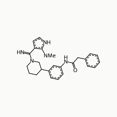 CNc1[nH]ccc1C(=N)N1CCCC(c2cccc(NC(=O)Cc3ccccc3)c2)C1